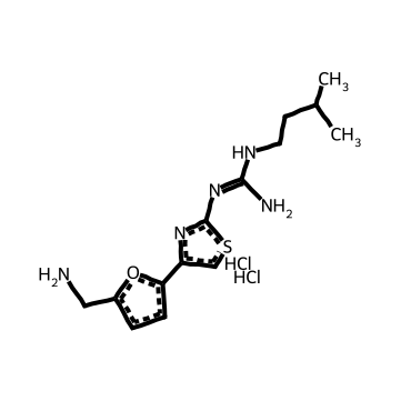 CC(C)CCN/C(N)=N/c1nc(-c2ccc(CN)o2)cs1.Cl.Cl